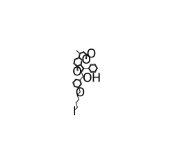 Cc1cc(=O)oc2c1ccc1oc(C(O)c3cccc(OCCCCI)c3)c(-c3ccccc3)c12